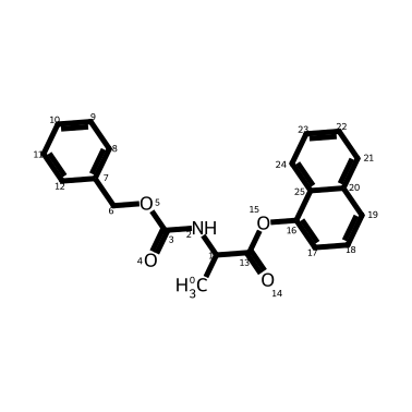 CC(NC(=O)OCc1ccccc1)C(=O)Oc1cccc2ccccc12